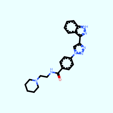 O=C(NCCN1CCCCC1)c1ccc(-n2cc(-c3n[nH]c4ccccc34)nn2)cc1